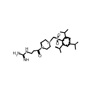 CC(C)c1cc(C(C)C)c(S(=O)(=O)CN2CCN(C(=O)CCNC(=N)N)CC2)c(C(C)C)c1